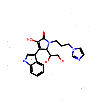 O=C1C(O)=C(c2c[nH]c3ccccc23)C(C(O)CO)N1CCCn1ccnc1